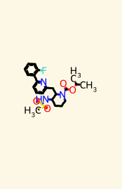 CC(C)OC(=O)N1CCCC(NS(C)(=O)=O)C1Cc1cccc(-c2ccccc2F)n1